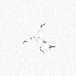 CCOO[Si](OCOC(C)=O)(OOCC)OOCC